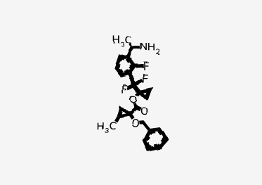 CC1CC1(OCc1ccccc1)C(=O)OC1(C(F)(F)c2cccc([C@@H](C)N)c2F)CC1